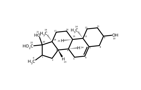 CC1C[C@H]2[C@@H]3CC=C4CC(O)CC[C@]4(C)[C@@H]3CC[C@]2(C)C1(O)C(=O)O